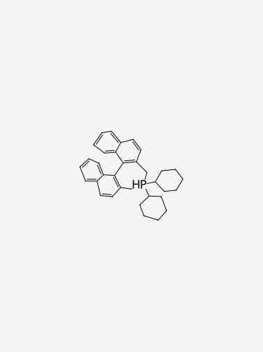 c1ccc2c3c(ccc2c1)C[PH](C1CCCCC1)(C1CCCCC1)Cc1ccc2ccccc2c1-3